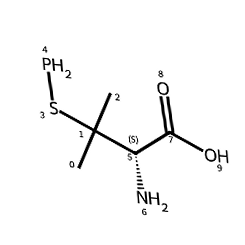 CC(C)(SP)[C@@H](N)C(=O)O